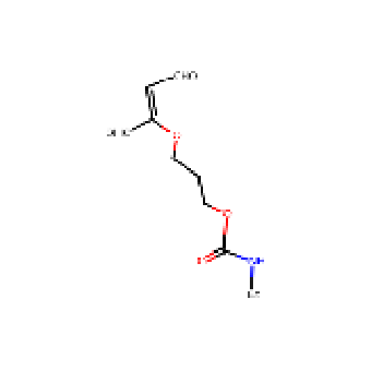 CCNC(=O)OCCCO/C(C=O)=C\C=O